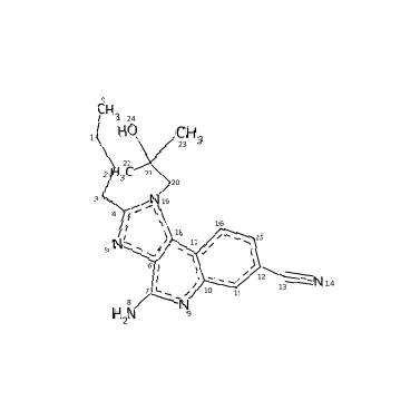 CCCCc1nc2c(N)nc3cc(C#N)ccc3c2n1CC(C)(C)O